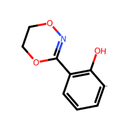 Oc1[c]cccc1C1=NOCCO1